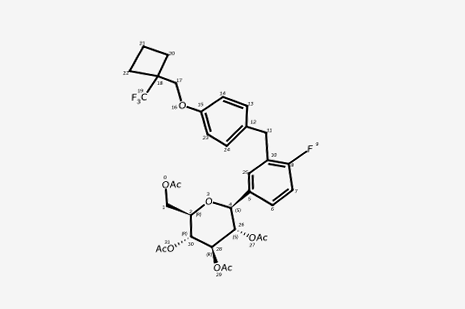 CC(=O)OC[C@H]1O[C@@H](c2ccc(F)c(Cc3ccc(OCC4(C(F)(F)F)CCC4)cc3)c2)[C@H](OC(C)=O)[C@@H](OC(C)=O)[C@@H]1OC(C)=O